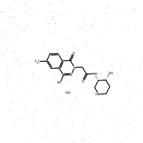 CC(C)c1nn(CC(=O)N[C@H]2CNCC[C@H]2O)c(=O)c2ccc(C(F)(F)F)cc12.Cl